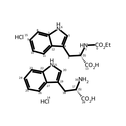 CCOC(=O)N[C@@H](Cc1c[nH]c2ccccc12)C(=O)O.Cl.Cl.N[C@@H](Cc1c[nH]c2ccccc12)C(=O)O